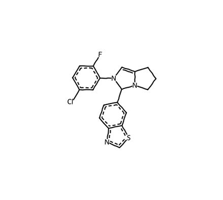 Fc1ccc(Cl)cc1N1C=C2CCCN2C1c1ccc2ncsc2c1